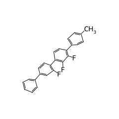 Cc1ccc(-c2ccc(-c3ccc(-c4ccccc4)cc3F)c(F)c2F)cc1